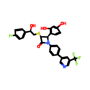 O=C1[C@H](SC[C@H](O)c2ccc(F)cc2)[C@@H](c2ccc(O)cc2O)N1c1ccc(-c2cncc(C(F)(F)F)c2)cc1